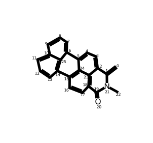 C=c1c2ccc3c4cccc5cccc(c6ccc(c(=O)n1C)c2c36)c54